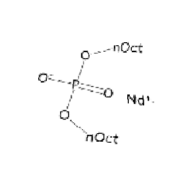 CCCCCCCCOP(=O)([O-])OCCCCCCCC.[Nd+]